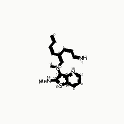 C=C\C=C/C(/C=C\C=N)=C\N(C)c1c(NC)sc2cccnc12